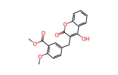 COC(=O)c1cc(Cc2c(O)c3ccccc3oc2=O)ccc1OC